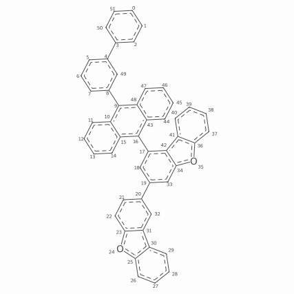 c1ccc(-c2cccc(-c3c4ccccc4c(-c4cc(-c5ccc6oc7ccccc7c6c5)cc5oc6ccccc6c45)c4ccccc34)c2)cc1